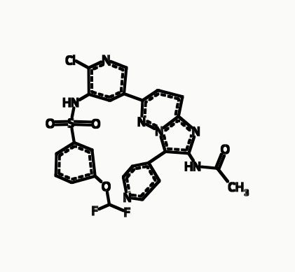 CC(=O)Nc1nc2ccc(-c3cnc(Cl)c(NS(=O)(=O)c4cccc(OC(F)F)c4)c3)nn2c1-c1ccncc1